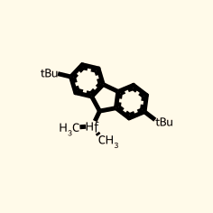 [CH3][Hf]([CH3])[CH]1c2cc(C(C)(C)C)ccc2-c2ccc(C(C)(C)C)cc21